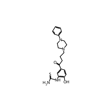 NC(=S)Nc1cc(C(=O)CCCN2CCN(c3ccccc3)CC2)ccc1O